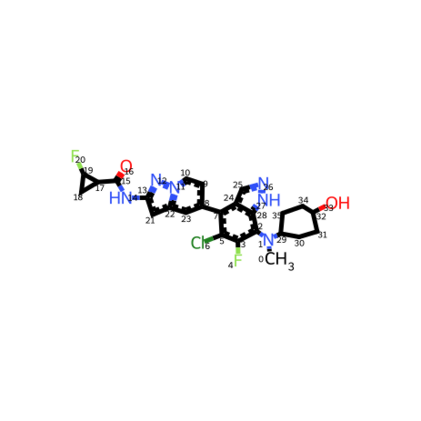 CN(c1c(F)c(Cl)c(-c2ccn3nc(NC(=O)C4CC4F)cc3c2)c2cn[nH]c12)C1CCC(O)CC1